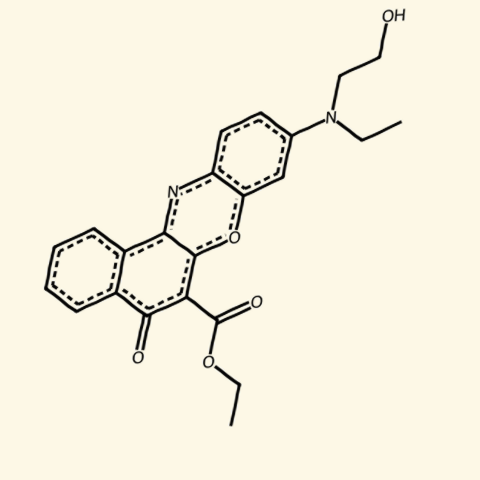 CCOC(=O)c1c2oc3cc(N(CC)CCO)ccc3nc-2c2ccccc2c1=O